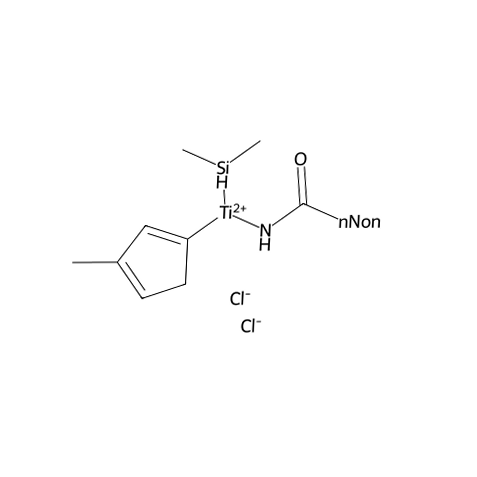 CCCCCCCCCC(=O)[NH][Ti+2]([C]1=CC(C)=CC1)[SiH](C)C.[Cl-].[Cl-]